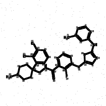 Cc1ccnc(Nc2ncc(Sc3ccnc(C(=O)NCC4(c5cccc(Cl)c5Cl)CCN(C)CC4)c3F)s2)c1